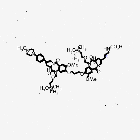 COc1cc2c(cc1OCCCOc1cc3c(cc1OC)C(=O)N1C=C(c4ccc(N5CCN(C)CC5)cc4)C[C@H]1C(=O)N3COCC[Si](C)(C)C)N(COCC[Si](C)(C)C)C(=O)[C@@H]1CC(/C=C/CNC(=O)O)=CN1C2=O